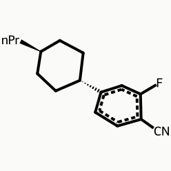 CCC[C@H]1CC[C@H](c2ccc(C#N)c(F)c2)CC1